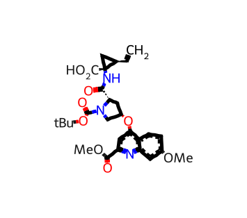 C=C[C@@H]1C[C@]1(NC(=O)[C@@H]1C[C@@H](Oc2cc(C(=O)OC)nc3cc(OC)ccc23)CN1C(=O)OC(C)(C)C)C(=O)O